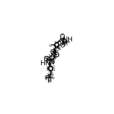 Cc1cc(CN2C(=O)NC(C)(C)C2=O)cc(C)c1C=CS(=O)(=O)N1CCC2(CC1)N=C(C1CCC(CCC(F)(F)F)CC1)NC2=O